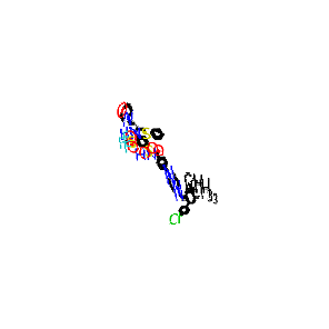 CC1(C)CCC(c2ccc(Cl)cc2)=C(CN2CCN(c3ccc(C(=O)NS(=O)(=O)c4ccc(N[C@H](CCN5CCCOCC5)CSc5ccccc5)c(S(=O)(=O)C(F)(F)F)c4)cc3)CC2)C1